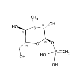 C=P(O)(O)O[C@H]1O[C@H](CO)[C@@H](O)[C@H](C)[C@@H]1O